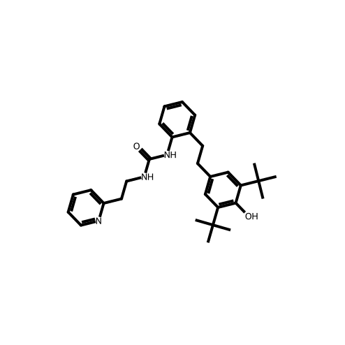 CC(C)(C)c1cc(CCc2ccccc2NC(=O)NCCc2ccccn2)cc(C(C)(C)C)c1O